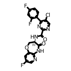 O=C(N[C@H]1COc2cc(F)cnc2NC1=O)c1ncc(Cl)c(-c2ccc(F)cc2F)n1